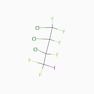 FC(F)(Cl)C(F)(Cl)C(F)(Cl)C(F)(F)I